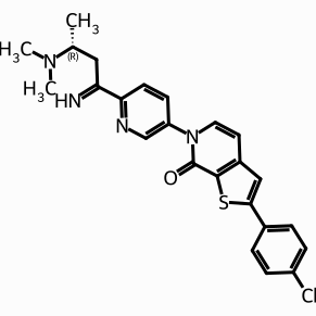 C[C@H](CC(=N)c1ccc(-n2ccc3cc(-c4ccc(Cl)cc4)sc3c2=O)cn1)N(C)C